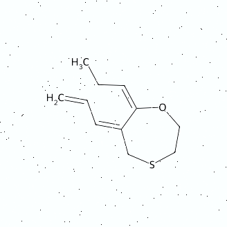 C=C/C=C1/CSCCO/C1=C/CC